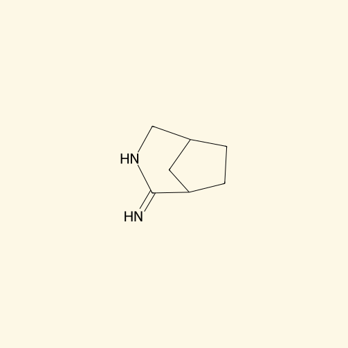 N=C1NCC2CCC1C2